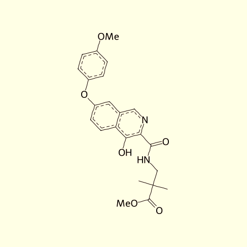 COC(=O)C(C)(C)CNC(=O)c1ncc2cc(Oc3ccc(OC)cc3)ccc2c1O